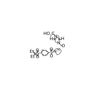 CCN(CC)S(=O)(=O)c1ccc(S(=O)(=O)N2CCC[C@@H](C(=O)N3C[C@H]4C[C@@H]3CN4C(=O)O)C2)cc1